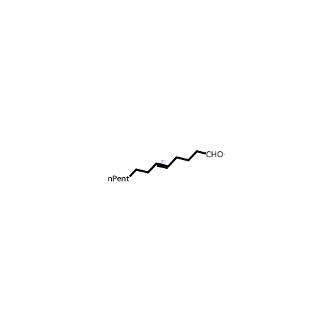 CCCCCCC/C=C/CCC[C]=O